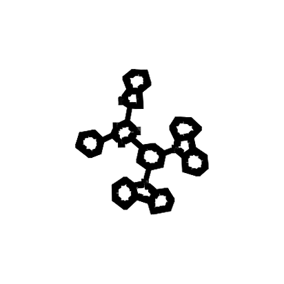 c1ccc(-c2nc(-c3cc(-n4c5ccccc5c5ccccc54)cc(-n4c5ccccc5c5ccccc54)c3)nc(-c3cc4ccccc4s3)n2)cc1